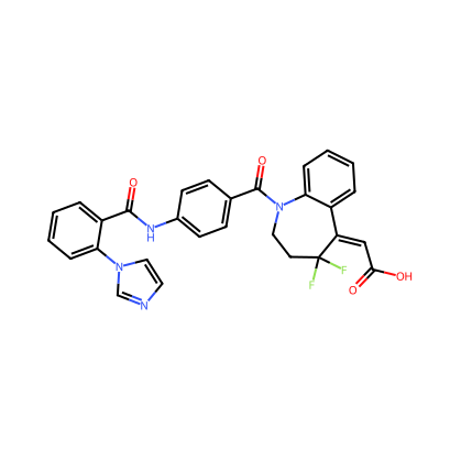 O=C(O)/C=C1/c2ccccc2N(C(=O)c2ccc(NC(=O)c3ccccc3-n3ccnc3)cc2)CCC1(F)F